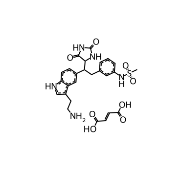 CS(=O)(=O)Nc1cccc(CC(c2ccc3[nH]cc(CCN)c3c2)C2NC(=O)NC2=O)c1.O=C(O)C=CC(=O)O